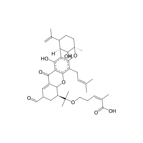 C=C(C)C1CC[C@@]2(C)Oc3c(CC=C(C)C)c4c(c(O)c3[C@@H]1[C@@H]2O)C(=O)C1=CC(C=O)C[C@H](C(C)(C)OCC/C=C(/C)C(=O)O)C1O4